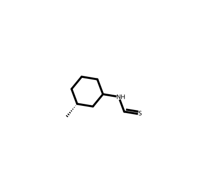 C[C@@H]1CCCC(NC=S)C1